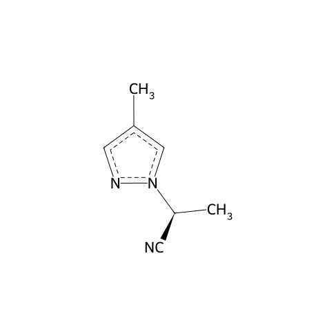 Cc1cnn([C@@H](C)C#N)c1